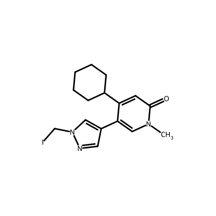 Cn1cc(-c2cnn(CI)c2)c(C2CCCCC2)cc1=O